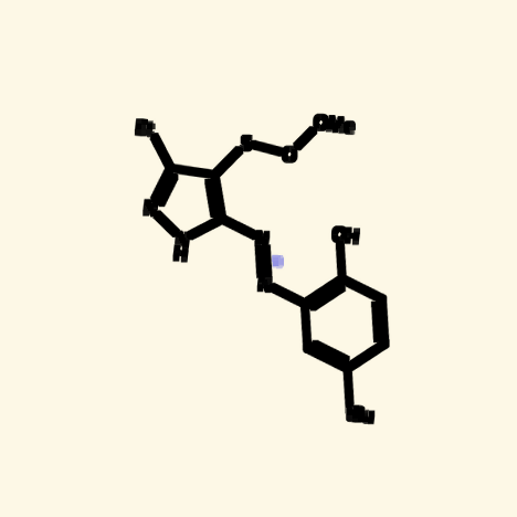 CCc1n[nH]c(/N=N/c2cc(C(C)(C)C)ccc2O)c1SOOC